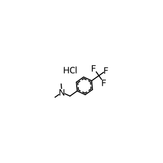 CN(C)Cc1ccc(C(F)(F)F)cc1.Cl